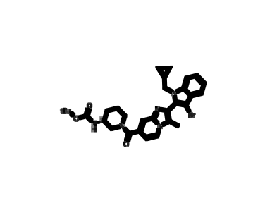 Cc1c(-c2c(Br)c3ccccc3n2CC2CC2)nc2cc(C(=O)N3CCC[C@@H](NC(=O)OC(C)(C)C)C3)ccn12